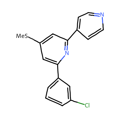 CSc1cc(-c2ccncc2)nc(-c2cccc(Cl)c2)c1